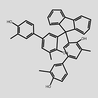 Cc1cc(-c2cc(C)c(O)c(C3(c4cc(-c5ccc(O)c(C)c5)cc(C)c4O)c4ccccc4-c4ccccc43)c2)ccc1O